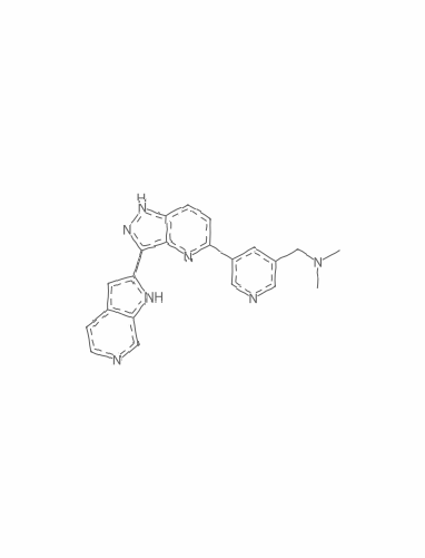 CN(C)Cc1cncc(-c2ccc3[nH]nc(-c4cc5ccncc5[nH]4)c3n2)c1